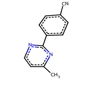 Cc1ccnc(-c2ccc(C#N)cc2)n1